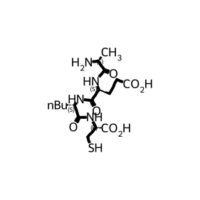 CCCC[C@H](NC(=O)[C@H](CCC(=O)O)NC(=O)[C@H](C)N)C(=O)N[C@@H](CS)C(=O)O